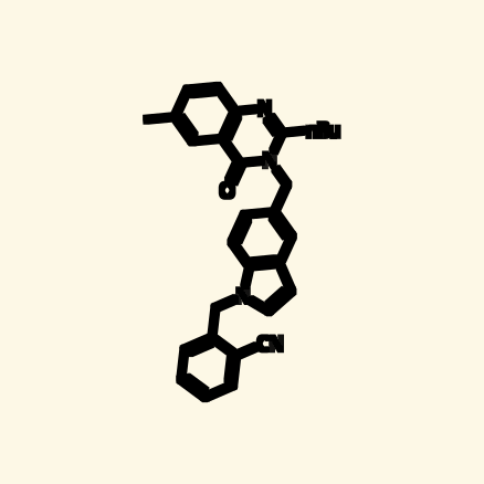 CCCCc1nc2ccc(C)cc2c(=O)n1Cc1ccc2c(ccn2Cc2ccccc2C#N)c1